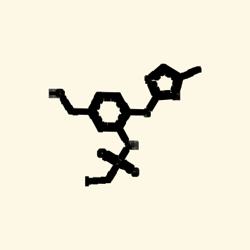 Cc1csc(Sc2ccc(CO)cc2NS(=O)(=O)CI)n1